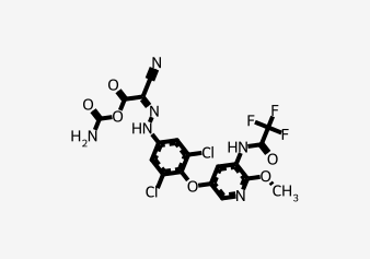 COc1ncc(Oc2c(Cl)cc(NN=C(C#N)C(=O)OC(N)=O)cc2Cl)cc1NC(=O)C(F)(F)F